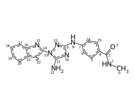 CNC(=O)c1ccc(Nc2nc(N)n(-c3nc4ccccc4s3)n2)cc1